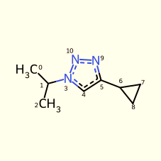 CC(C)n1cc(C2CC2)nn1